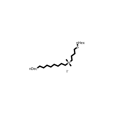 CCCCCCCCCCCCCCCCCC[N+](C)(C)CCCCSCCCCCC.[I-]